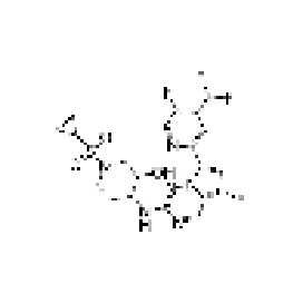 O=S(=O)(C1CC1)N1CC[C@@H](Nc2ncc3c(F)cc(-c4cc(C(F)F)c(F)cn4)n3n2)[C@H](O)C1